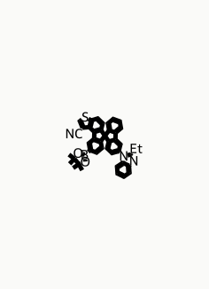 CCc1nc2ccccc2n1-c1ccc2c(c1)-c1ccccc1C21c2ccc(B3OC(C)(C)C(C)(C)O3)cc2-c2c1ccc1scc(C#N)c21